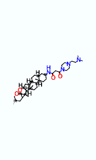 C[C@@H]1CO[C@]23O[C@H]4C[C@H]5[C@@H]6CC[C@@H]7C[C@@H](NC(=O)CC(=O)N8CCN(CCN(C)C)CC8)CC[C@]7(C)[C@H]6CC[C@]5(C)[C@H]4[C@]2(C)C3C1